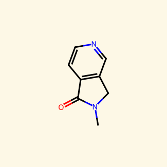 CN1Cc2cnccc2C1=O